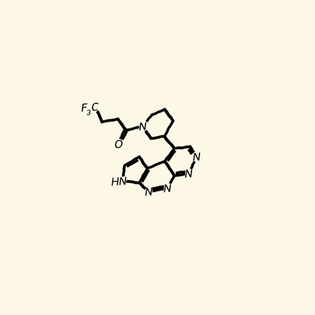 O=C(CCC(F)(F)F)N1CCCC(c2cnnc3nnc4[nH]ccc4c23)C1